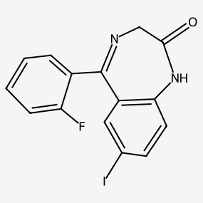 O=C1CN=C(c2ccccc2F)c2cc(I)ccc2N1